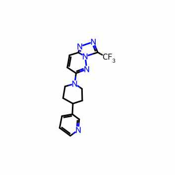 FC(F)(F)c1nnc2ccc(N3CCC(c4cccnc4)CC3)nn12